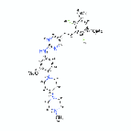 COc1cc(Nc2ncc(CCc3c(F)c(OC)cc(OC)c3F)cn2)ccc1N1CCC(N2CCN(C)CC2)CC1